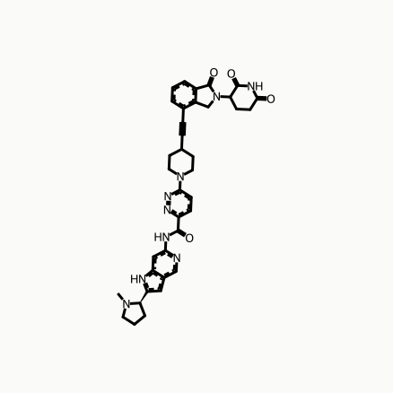 CN1CCC[C@@H]1c1cc2cnc(NC(=O)c3ccc(N4CCC(C#Cc5cccc6c5CN(C5CCC(=O)NC5=O)C6=O)CC4)nn3)cc2[nH]1